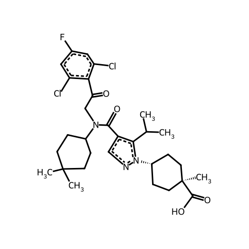 CC(C)c1c(C(=O)N(CC(=O)c2c(Cl)cc(F)cc2Cl)C2CCC(C)(C)CC2)cnn1[C@H]1CC[C@](C)(C(=O)O)CC1